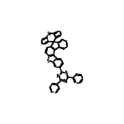 c1ccc(-c2nc(-c3ccccc3)nc(-c3ccc4c(c3)sc3ccc5c(c34)-c3ccccc3C53c4ccccc4Sc4ccccc43)n2)cc1